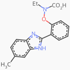 CCN(Oc1ccccc1-c1nc2ccc(C)cc2[nH]1)C(=O)O